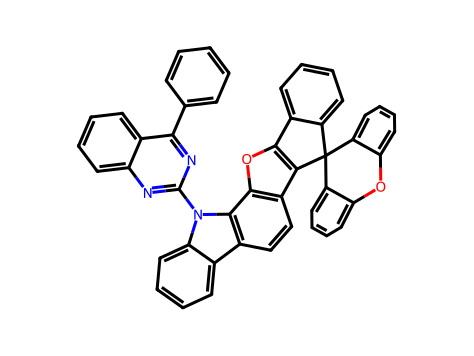 c1ccc(-c2nc(-n3c4ccccc4c4ccc5c6c(oc5c43)-c3ccccc3C63c4ccccc4Oc4ccccc43)nc3ccccc23)cc1